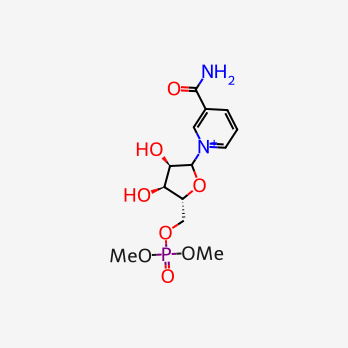 COP(=O)(OC)OC[C@H]1OC([n+]2cccc(C(N)=O)c2)[C@H](O)[C@@H]1O